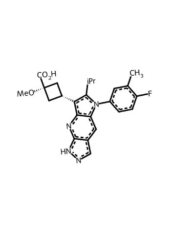 CO[C@]1(C(=O)O)C[C@H](c2c(C(C)C)n(-c3ccc(F)c(C)c3)c3cc4cn[nH]c4nc32)C1